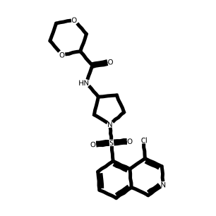 O=C(NC1CCN(S(=O)(=O)c2cccc3cncc(Cl)c23)C1)C1COCCO1